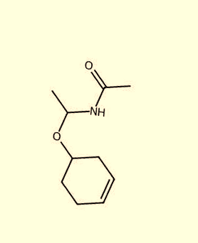 CC(=O)NC(C)OC1CC=CCC1